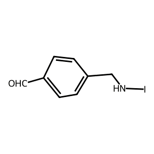 O=Cc1ccc(CNI)cc1